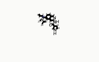 C=C/C=C(/c1ccc2cnc(NC(=O)C3CCNC3)cc2c1)N(C)C(=C)C